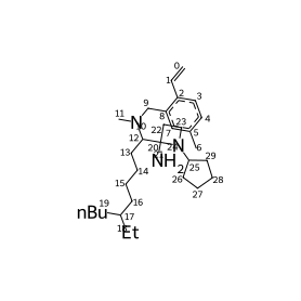 C=Cc1ccc(C)cc1CN(C)C(CCCCC(CC)CCCC)C1(N)CCN1C1CCCC1